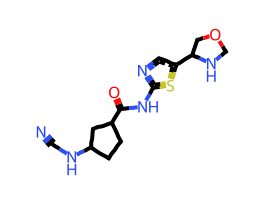 N#CNC1CCC(C(=O)Nc2ncc(C3COCN3)s2)C1